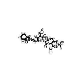 CO/N=C(\C(=O)N[C@@H]1C(=O)N2C(C(=O)O)=C(COC(C)=O)CS[C@H]12)c1csc(N/C=C2/CC=CC=C2O)n1